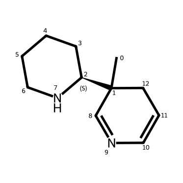 CC1([C@@H]2CCCCN2)C=NC=CC1